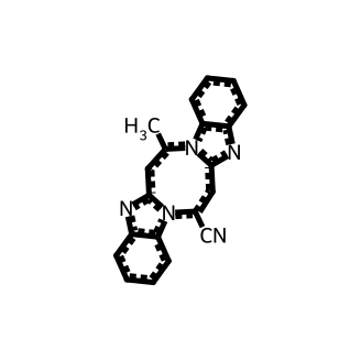 Cc1cc2nc3ccccc3n2c(C#N)cc2nc3ccccc3n12